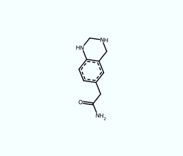 NC(=O)Cc1ccc2c(c1)CNCN2